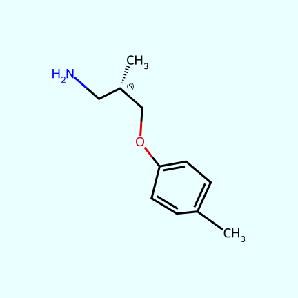 Cc1ccc(OC[C@@H](C)CN)cc1